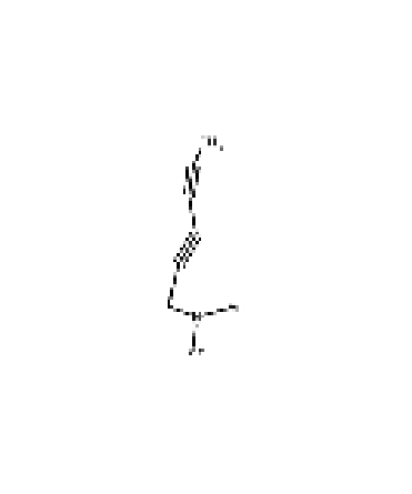 CC#CC#CCN(C(C)=O)C(C)=O